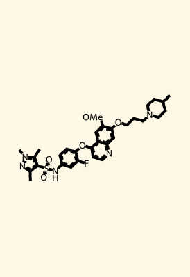 COc1cc2c(Oc3ccc(NS(=O)(=O)c4c(C)nn(C)c4C)cc3F)ccnc2cc1OCCCN1CCC(C)CC1